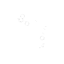 O=C1CCC(c2ccc(N3CCN(C(=O)C4CCC(CN5CCC(c6ccc7c(c6)-n6c(nc(=O)c8c(Cl)cccc86)C76CCCCC6)CC5)CC4)CC3)cc2F)C(=O)N1